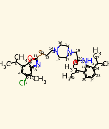 Cc1c(Cl)cc(C(C)C)c2oc(SCCN3CCN(CC(=O)Nc4c(C(C)C)cccc4C(C)C)CC3)nc12